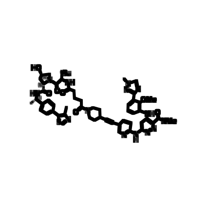 CNC(=O)c1nnc(Nc2ccc(C#CC3CCN(C(=O)CCCC(=O)NC(C(=O)N4C[C@H](O)C[C@H]4C(=O)N[C@@H](C)c4ccc(-c5scnc5C)cc4)C(C)(C)C)CC3)cn2)cc1Nc1cccc(-c2ncn(C)n2)c1OC